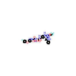 O=C(NC[C@H](NC(=O)c1ccc(Nc2nc(NC3(c4ccccc4)CC3)nc(OCC(F)(F)F)n2)cc1)C(=O)O)C(=O)Nc1ccc(Oc2ccc(F)cc2)cc1